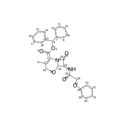 CC1=C(C(=O)OC(c2ccccc2)c2ccccc2)N2C(=O)C(NC(=O)COc3ccccc3)C2OC1